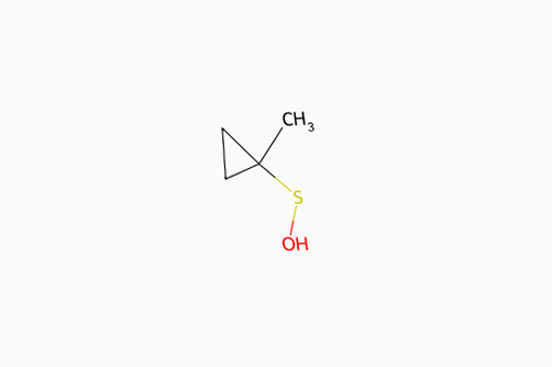 CC1(SO)CC1